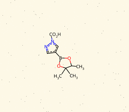 CC1OB(c2cnn(C(=O)O)c2)OC1(C)C